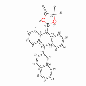 C=C1OB(c2c3ccccc3c(-c3ccc4ccccc4c3)c3ccccc23)OC1(C)C